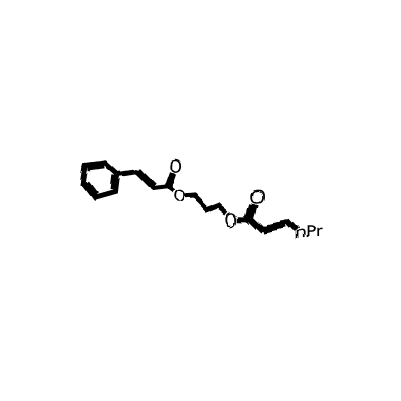 CCCC=CC(=O)OCCCOC(=O)/C=C/c1ccccc1